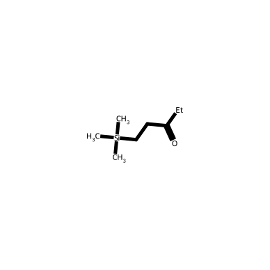 CCC(=O)CC[Si](C)(C)C